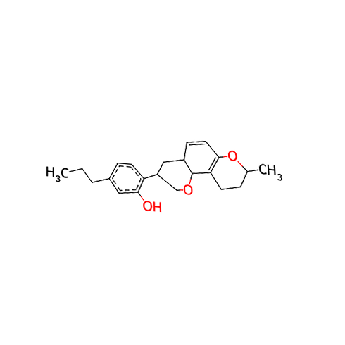 CCCc1ccc(C2COC3C4=C(C=CC3C2)OC(C)CC4)c(O)c1